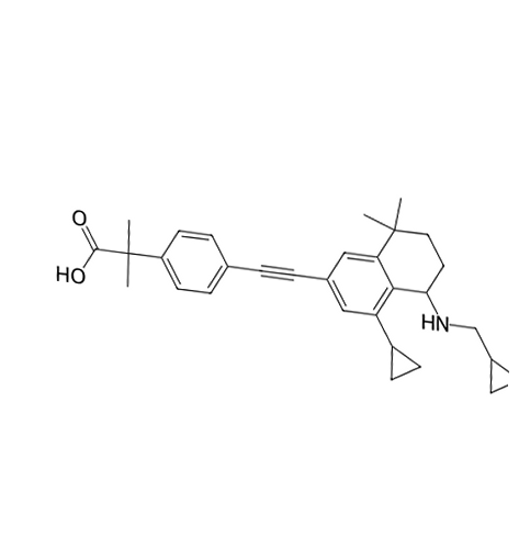 CC1(C)CCC(NCC2CC2)c2c(C3CC3)cc(C#Cc3ccc(C(C)(C)C(=O)O)cc3)cc21